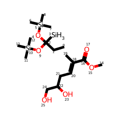 CCC([SiH3])(O[Si](C)(C)C)O[Si](C)(C)C.COC(=O)C(C)=CCC(O)CO